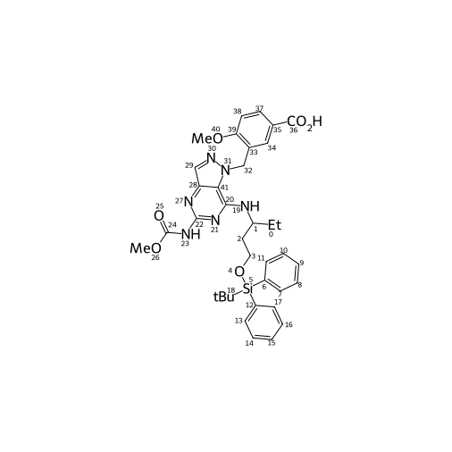 CCC(CCO[Si](c1ccccc1)(c1ccccc1)C(C)(C)C)Nc1nc(NC(=O)OC)nc2cnn(Cc3cc(C(=O)O)ccc3OC)c12